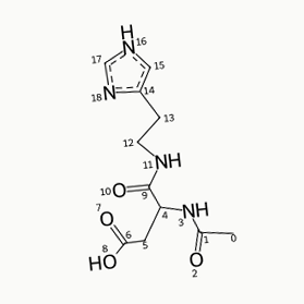 CC(=O)NC(CC(=O)O)C(=O)NCCc1c[nH]cn1